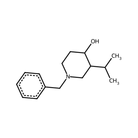 CC(C)C1CN(Cc2ccccc2)CCC1O